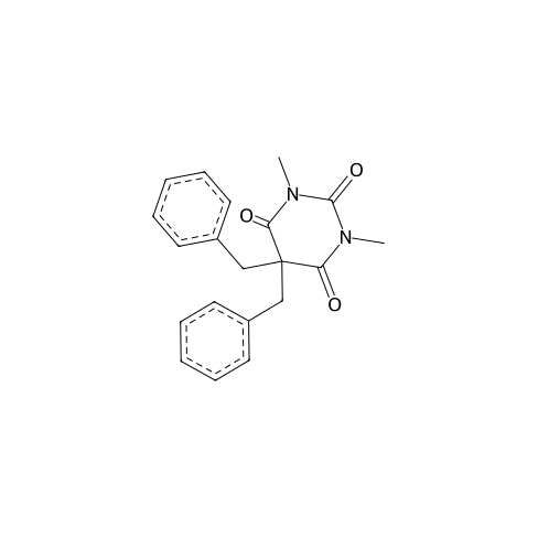 CN1C(=O)N(C)C(=O)C(Cc2ccccc2)(Cc2ccccc2)C1=O